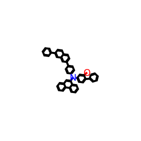 c1ccc(-c2ccc3ccc(-c4ccc(N(c5ccc6c(c5)oc5ccccc56)c5cc6ccccc6c6ccccc56)cc4)cc3c2)cc1